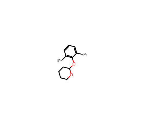 CC(C)c1cccc(C(C)C)c1OC1CCC[CH]O1